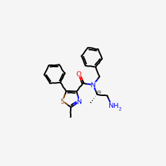 Cc1nc(C(=O)N(Cc2ccccc2)[C@@H](C)CN)c(-c2ccccc2)s1